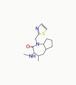 CNC1C(=O)N(Cc2nccs2)C2CCCC2CC1C